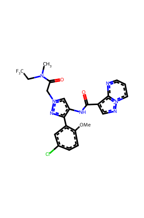 COc1ccc(Cl)cc1-c1nn(CC(=O)N(C)CC(F)(F)F)cc1NC(=O)c1cnn2cccnc12